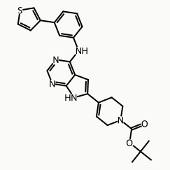 CC(C)(C)OC(=O)N1CC=C(c2cc3c(Nc4cccc(-c5ccsc5)c4)ncnc3[nH]2)CC1